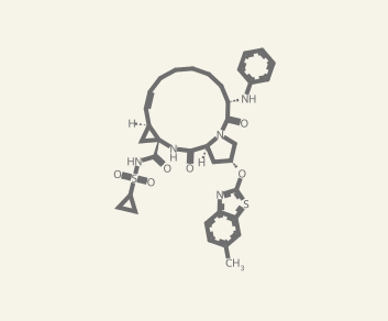 Cc1ccc2nc(O[C@@H]3C[C@H]4C(=O)N[C@]5(C(=O)NS(=O)(=O)C6CC6)C[C@H]5/C=C\CCCCC[C@H](Nc5ccccc5)C(=O)N4C3)sc2c1